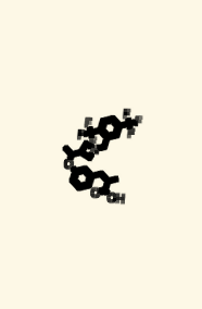 CC(Cc1cccc(OC(C)C2CN(Cc3cc(C(F)(F)F)ccc3C(F)(F)F)C2)c1)C(=O)O